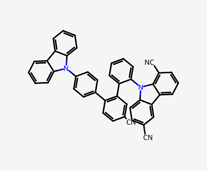 N#Cc1ccc(-c2ccc(-n3c4ccccc4c4ccccc43)cc2)c(-c2ccccc2-n2c3ccc(C#N)cc3c3cccc(C#N)c32)c1